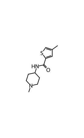 Cc1csc(C(=O)NC2CCN(C)CC2)c1